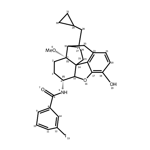 CO[C@@]12CC[C@@H](NC(=O)c3cccc(I)c3)C3Oc4c(O)ccc5c4C31CCN(CC1CC1)C2C5